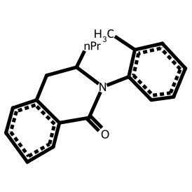 CCCC1Cc2ccccc2C(=O)N1c1ccccc1C